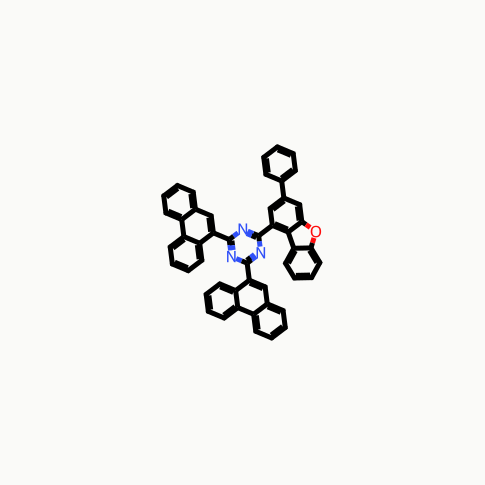 c1ccc(-c2cc(-c3nc(-c4cc5ccccc5c5ccccc45)nc(-c4cc5ccccc5c5ccccc45)n3)c3c(c2)oc2ccccc23)cc1